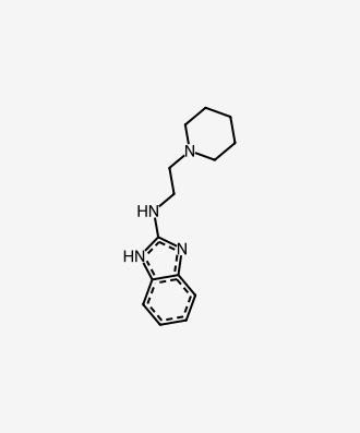 c1ccc2[nH]c(NCCN3CCCCC3)nc2c1